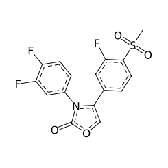 CS(=O)(=O)c1ccc(-c2coc(=O)n2-c2ccc(F)c(F)c2)cc1F